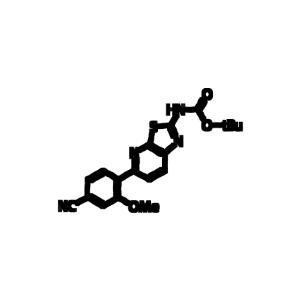 COc1cc(C#N)ccc1-c1ccc2nc(NC(=O)OC(C)(C)C)sc2n1